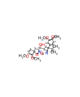 COc1ccc(CC(C(O)CCC(C#N)(c2ccc(OC)c(OC)c2)C(C)C)[N+](=O)[O-])cc1OC